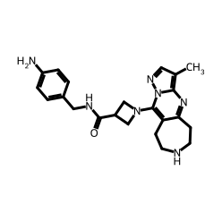 Cc1cnn2c(N3CC(C(=O)NCc4ccc(N)cc4)C3)c3c(nc12)CCNCC3